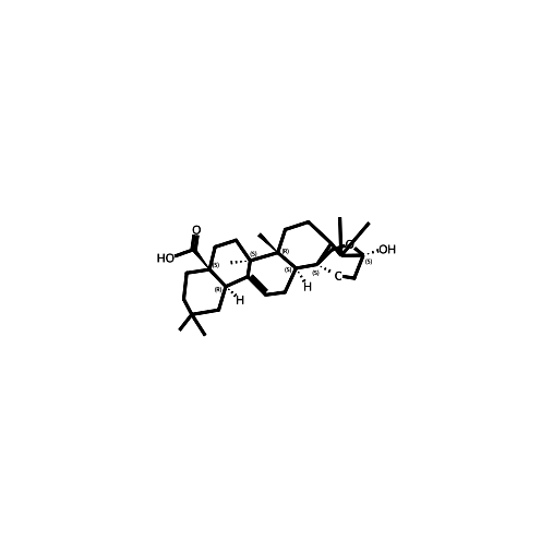 CC1(C)CC[C@]2(C(=O)O)CC[C@]3(C)C(=CC[C@@H]4[C@]56CC[C@](O)(OC5)C(C)(C)C6CC[C@]43C)[C@H]2C1